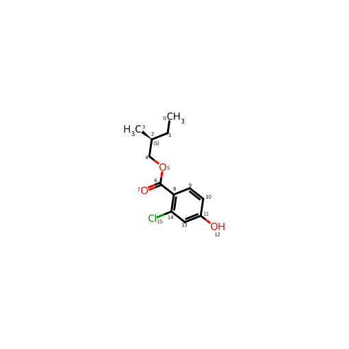 CC[C@H](C)COC(=O)c1ccc(O)cc1Cl